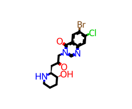 O=C(C[C@@H]1NCCC[C@H]1O)Cn1cnc2cc(Cl)c(Br)cc2c1=O